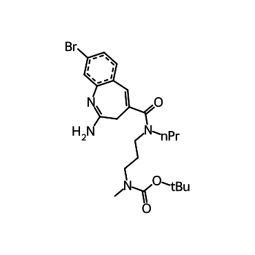 CCCN(CCCN(C)C(=O)OC(C)(C)C)C(=O)C1=Cc2ccc(Br)cc2N=C(N)C1